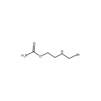 CC(C)CNCCOC(N)=O